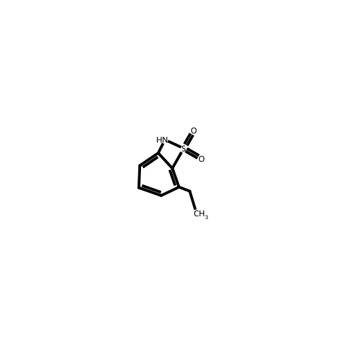 CCc1cccc2c1S(=O)(=O)N2